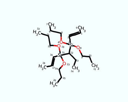 CC=C[Si](OCCC)(OCCC)C(CC)[Si](C=CC)(OCCC)OCCC